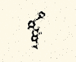 CC(=O)Oc1ccc2c(c1)NC(=O)N(c1cc(OCc3nccs3)ccc1C)C2